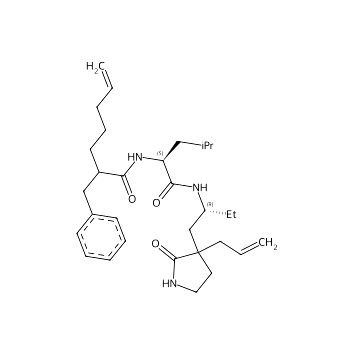 C=CCCCC(Cc1ccccc1)C(=O)N[C@@H](CC(C)C)C(=O)N[C@H](CC)CC1(CC=C)CCNC1=O